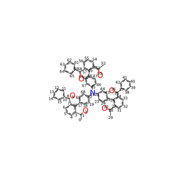 CC(=O)c1cccc(C(=O)c2ccccc2)c1-c1ccc(N(c2ccc(-c3c(C(C)=O)cccc3C(=O)c3ccccc3)cc2)c2ccc(-c3c(C(C)=O)cccc3C(=O)c3ccccc3)cc2)cc1